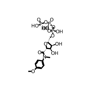 COc1ccc(N(C)C(=O)[C@@H]2O[C@H](COP(=O)(O)OP(=O)(O)OP(=O)(O)O)[C@@H](O)[C@H]2O)cc1